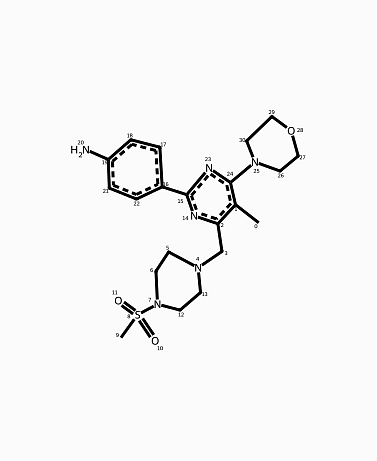 Cc1c(CN2CCN(S(C)(=O)=O)CC2)nc(-c2ccc(N)cc2)nc1N1CCOCC1